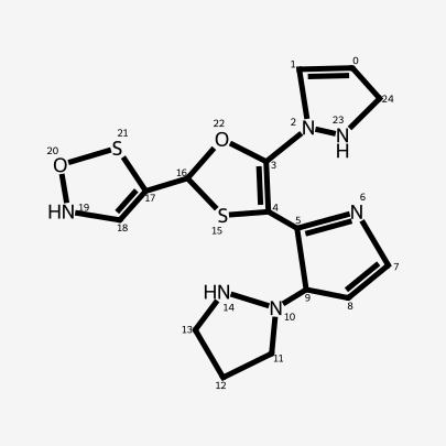 C1=CN(C2=C(C3=NC=CC3N3CCCN3)S[C](C3=CNOS3)O2)NC1